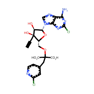 C#C[C@@]1(O)[C@@H](COC(Cc2ccnc(Cl)c2)(C(=O)O)C(=O)O)O[C@@H](n2cnc3c(N)nc(Cl)nc32)[C@@H]1O